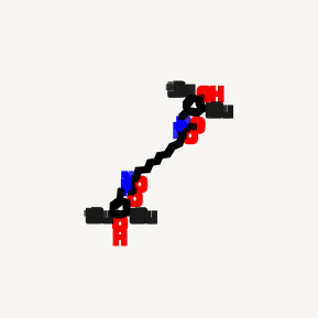 CC(C)(C)c1cc(Cn2nc(CCCCCCCCc3nn(Cc4cc(C(C)(C)C)c(O)c(C(C)(C)C)c4)c(=O)o3)oc2=O)cc(C(C)(C)C)c1O